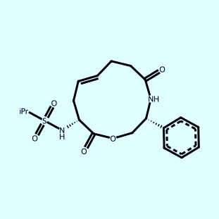 CC(C)S(=O)(=O)N[C@@H]1C/C=C/CCC(=O)N[C@H](c2ccccc2)COC1=O